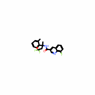 Cc1ccccc1C(C)(CC(F)(F)F)NC(=O)c1cnc2c(F)cccc2c1